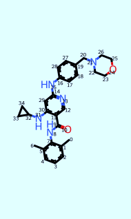 Cc1cccc(C)c1NC(=O)c1cnc(Nc2ccc(CN3CCOCC3)cc2)cc1NC1CC1